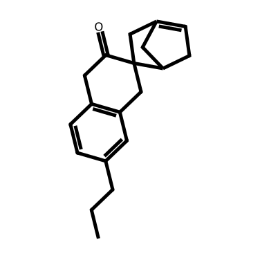 CCCc1ccc2c(c1)CC1(CC3=CCC1C3)C(=O)C2